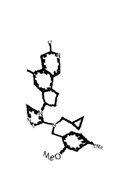 COc1ccc(CN(CC2CC2)c2nncn2C2CCc3c2cc(I)c2cc(Cl)ncc32)c(OC)c1